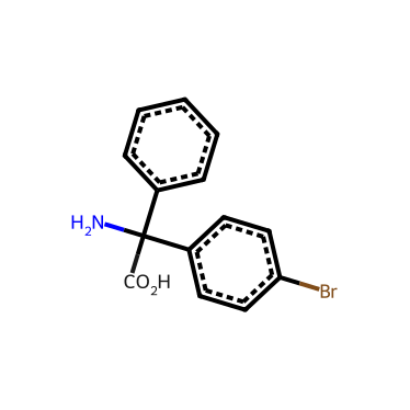 NC(C(=O)O)(c1ccccc1)c1ccc(Br)cc1